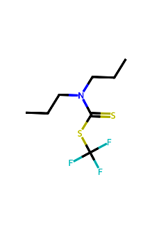 CCCN(CCC)C(=S)SC(F)(F)F